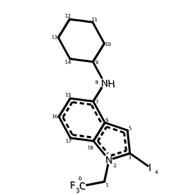 FC(F)(F)Cn1c(I)cc2c(NC3CCCCC3)cccc21